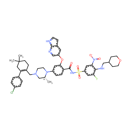 C[C@@H]1CN(CC2=C(c3ccc(Cl)cc3)CC(C)(C)CC2)CCN1c1ccc(C(=O)NS(=O)(=O)c2cc(F)c(NCC3CCOCC3)c([N+](=O)[O-])c2)c(Oc2cnc3[nH]ccc3c2)c1